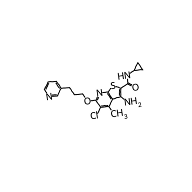 Cc1c(Cl)c(OCCCc2cccnc2)nc2sc(C(=O)NC3CC3)c(N)c12